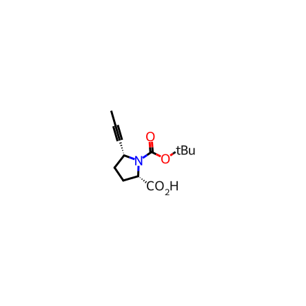 CC#C[C@H]1CC[C@@H](C(=O)O)N1C(=O)OC(C)(C)C